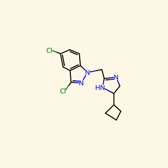 Clc1ccc2c(c1)c(Cl)nn2CC1=NCC(C2CCC2)N1